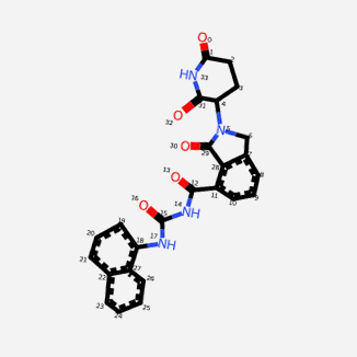 O=C1CCC(N2Cc3cccc(C(=O)NC(=O)Nc4cccc5ccccc45)c3C2=O)C(=O)N1